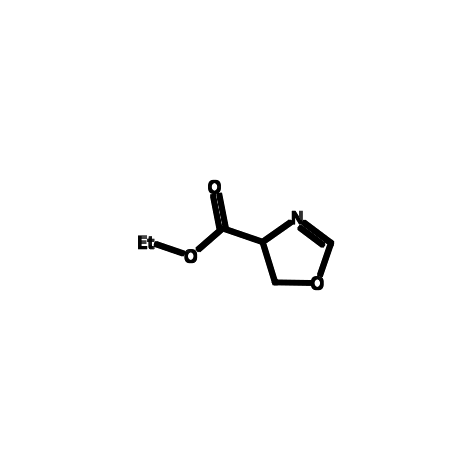 CCOC(=O)C1COC=N1